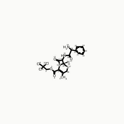 CC1=C(C(=O)OCC(Cl)(Cl)Cl)N2C(=O)C(NC(=O)C(N)c3ccccc3)[C@@H]2SC1